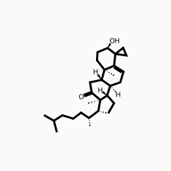 CC(C)CCC[C@@H](C)[C@H]1CC[C@H]2[C@@H]3CC=C4C5(CC5)[C@H](O)CC[C@]4(C)[C@H]3CC(=O)[C@]12C